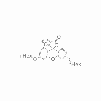 CCCCCCOc1ccc2c(c1)Oc1cc(OCCCCCC)ccc1C21OC(=O)c2ccccc21